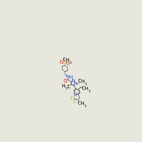 CCc1cc(CC(C)C(F)(F)F)ncc1-c1c(C)c(C(=O)NCC2CCC(S(C)(=O)=O)CC2)nn1CC